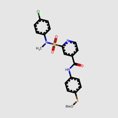 COSc1ccc(NC(=O)c2ccnc(S(=O)(=O)N(C)c3ccc(Cl)cc3)c2)cc1